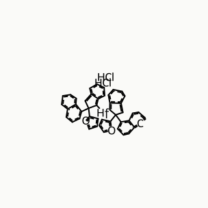 C1=c2ccccc2=[C]([Hf][C]2=c3ccccc3=CC2(c2ccco2)c2cccc3ccccc23)C1(c1ccco1)c1cccc2ccccc12.Cl.Cl